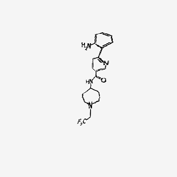 Nc1ccccc1-c1ccc(C(=O)NC2CCN(CC(F)(F)F)CC2)cn1